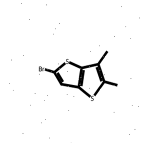 Cc1sc2cc(Br)sc2c1C